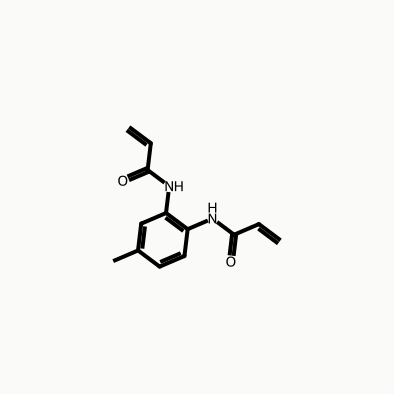 C=CC(=O)Nc1ccc(C)cc1NC(=O)C=C